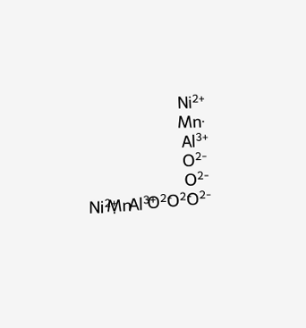 [Al+3].[Al+3].[Mn].[Mn].[Ni+2].[Ni+2].[O-2].[O-2].[O-2].[O-2].[O-2]